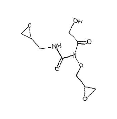 O=C(CO)N(OCC1CO1)C(=O)NCC1CO1